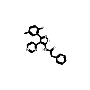 Cc1ccc(F)c(-c2noc(NC(=O)Cc3ccccc3)c2-c2ccncn2)c1